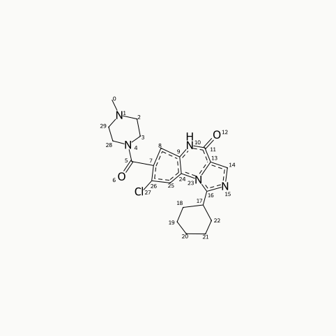 CN1CCN(C(=O)c2cc3[nH]c(=O)c4cnc(C5CCCCC5)n4c3cc2Cl)CC1